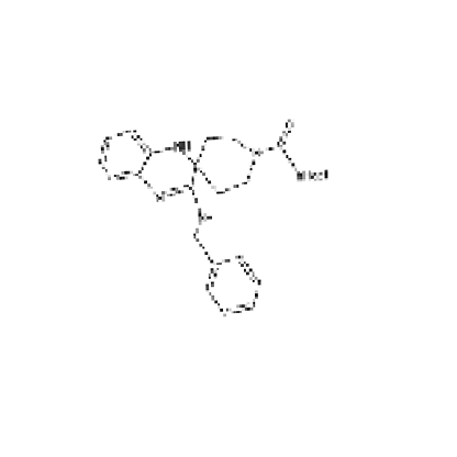 CCCCCCCC(=O)N1CCC2(CC1)Nc1ccccc1N=C2NCc1ccccc1